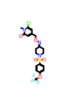 Cn1c(Cl)cc(CON=C2CCN(S(=O)(=O)c3ccc(OC(F)(F)F)cc3)CC2)cc1=O